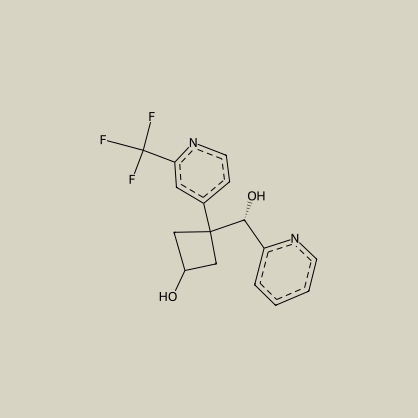 OC1CC(c2ccnc(C(F)(F)F)c2)([C@H](O)c2ccccn2)C1